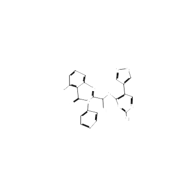 CC(Nc1nc(N)ncc1-c1cn[nH]c1)c1nc2cccc(Cl)c2c(=O)n1-c1ccccc1